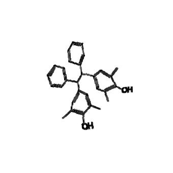 Cc1cc(C(c2ccccc2)C(c2ccccc2)c2cc(C)c(O)c(C)c2)cc(C)c1O